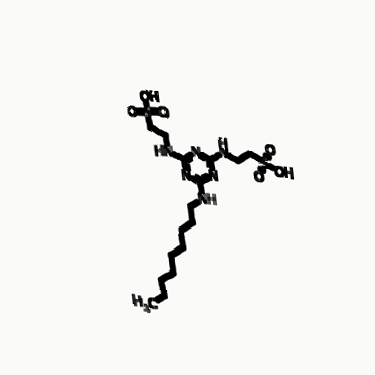 CCCCCCCCCNc1nc(NCCS(=O)(=O)O)nc(NCCS(=O)(=O)O)n1